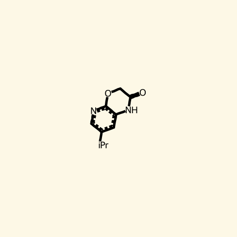 CC(C)c1cnc2c(c1)NC(=O)CO2